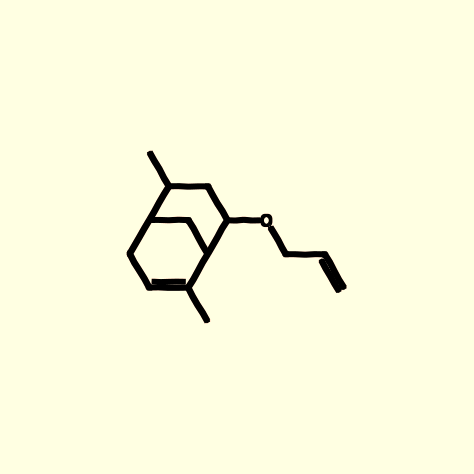 C=CCOC1CC(C)C2CC=C(C)C1C2